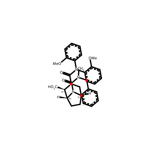 COc1ccccc1N(C(=O)N1C[C@@H]2CC[C@H]([C@H]1C(=O)O)N2C(=O)N(C)Cc1ccccc1)c1ccccc1OC